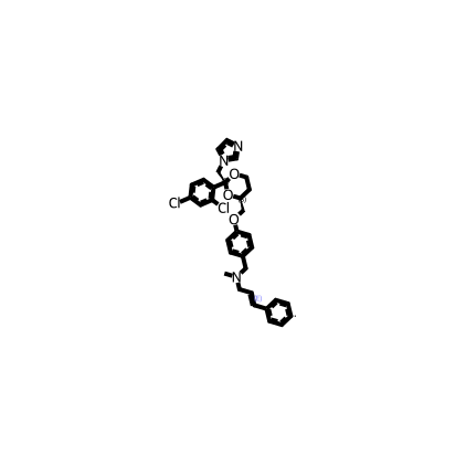 CN(C/C=C/c1cc[c]cc1)Cc1ccc(OC[C@@H]2CCO[C@@](Cn3ccnc3)(c3ccc(Cl)cc3Cl)O2)cc1